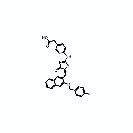 O=C(O)Cc1ccc(NC2=NC(=O)/C(=C\c3cc4ccccc4cc3OCc3ccc(F)cc3)S2)cc1